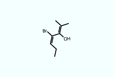 CC/C=C(/Br)C(O)=C(C)C